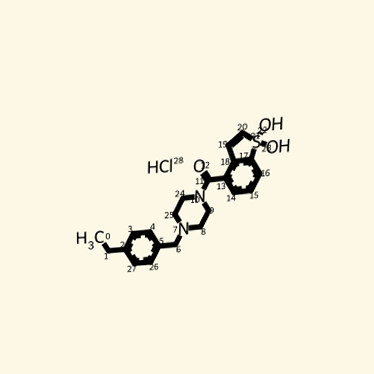 CCc1ccc(CN2CCN(C(=O)c3cccc4c3C=CS4(O)O)CC2)cc1.Cl